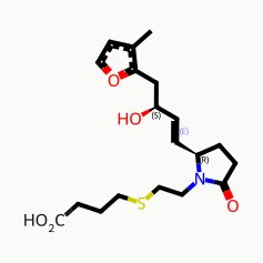 Cc1ccoc1C[C@H](O)/C=C/[C@H]1CCC(=O)N1CCSCCCC(=O)O